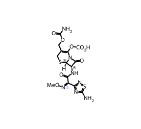 CO/N=C(\C(=O)N[C@@H]1C(=O)N2C(OC(=O)O)=C(COC(N)=O)CS[C@@H]12)c1nsc(N)n1